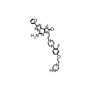 Cn1c(=O)n(CCN2CCN(c3ccc(OCCN4CCNCC4)cc3F)CC2)c2nc(N)n3nc(-c4ccco4)nc3c21